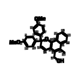 COc1ccc(C2(c3ccc(OC)cc3)C=Cc3c(CO)c(C)c4ccccc4c3O2)cc1